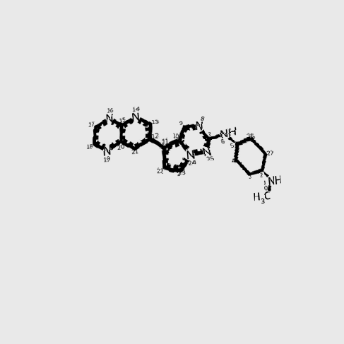 CN[C@H]1CC[C@@H](Nc2ncc3c(-c4cnc5nccnc5c4)ccn3n2)CC1